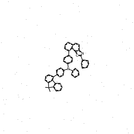 CC1(C)c2ccccc2-c2c(-c3ccc(N(c4ccccc4)c4ccc(-c5cccc6ccc7nc(-c8ccccc8)oc7c56)cc4)cc3)cccc21